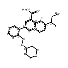 COC(=O)c1cc(-c2ccccc2COC2CCOCC2)cc2ccc(C(C)CC(C)C)nc12